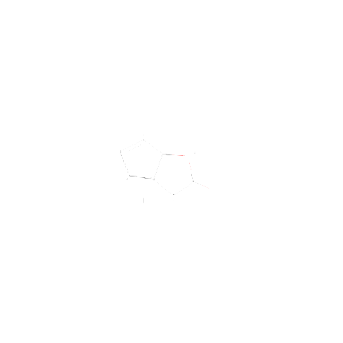 OC1C[C@H]2CC=CC2O1